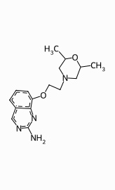 CC1CN(CCOc2cccc3cnc(N)nc23)CC(C)O1